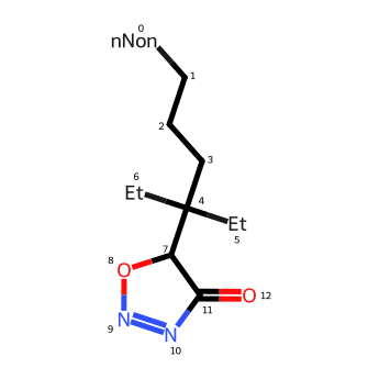 CCCCCCCCCCCCC(CC)(CC)C1ON=NC1=O